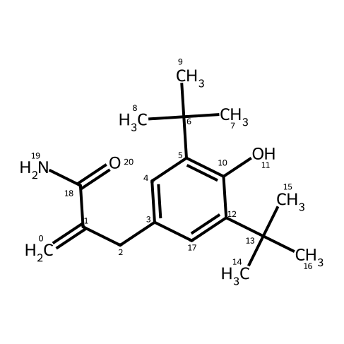 C=C(Cc1cc(C(C)(C)C)c(O)c(C(C)(C)C)c1)C(N)=O